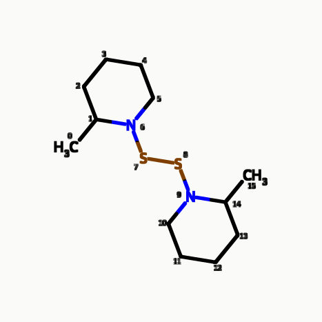 CC1CCCCN1SSN1CCCCC1C